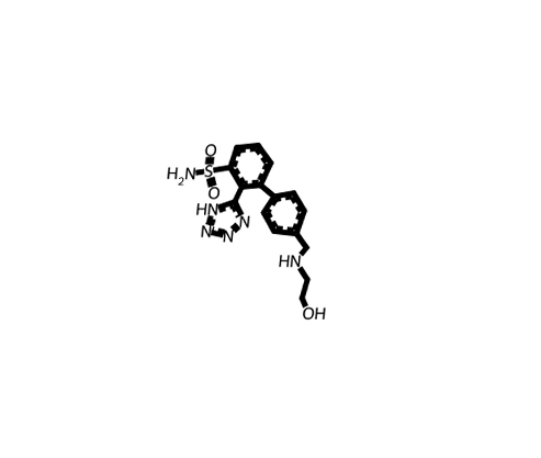 NS(=O)(=O)c1cccc(-c2ccc(CNCCO)cc2)c1-c1nnn[nH]1